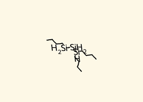 CCCC[SiH2][SiH2][SiH](CCCC)CCCC